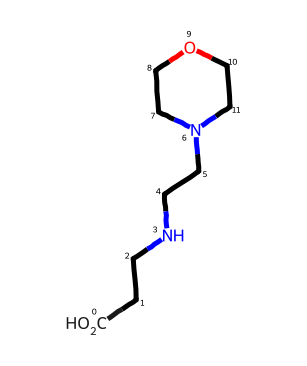 O=C(O)CCNCCN1CCOCC1